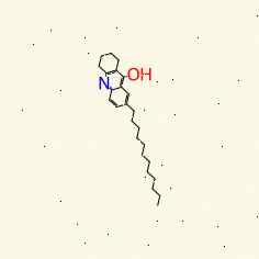 CCCCCCCCCCCCc1ccc2nc3c(c(O)c2c1)CCCC3